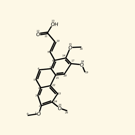 COc1cc2ccc3c(/C=C/C(=O)O)c(OC)c(OC)cc3c2cc1OC